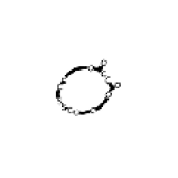 O=C1CCC(=O)OCCCCCCSSCCCCCCO1